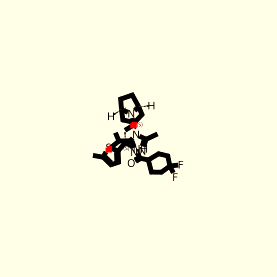 Cc1ccc([C@H](CCN2[C@@H]3CC[C@H]2C[C@H](n2c(C)nnc2C(C)C)C3)NC(=O)C2CCC(F)(F)CC2)s1